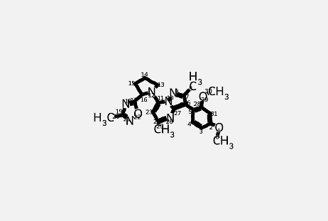 COc1ccc(-c2c(C)nn3c(N4CCCC4c4nc(C)no4)cc(C)nc23)c(OC)c1